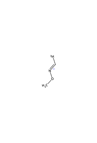 [2H]/C=N/OC